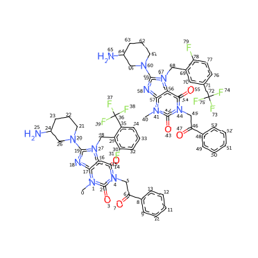 Cn1c(=O)n(CC(=O)c2ccccc2)c(=O)c2c1nc(N1CCCC(N)C1)n2Cc1c(F)cccc1C(F)(F)F.Cn1c(=O)n(CC(=O)c2ccccc2)c(=O)c2c1nc(N1CCCC(N)C1)n2Cc1cc(C(F)(F)F)ccc1F